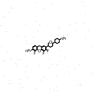 CCCc1ccc2c(c1F)Oc1c(cc(C3CCC(C4CCC(CCC)CC4)OC3)c(F)c1F)C2